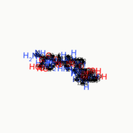 CC[C@H](C)[C@H](NC(=O)[C@H](Cc1ccc(O)cc1)NC(=O)[C@@H](NC(=O)[C@H](CCCNC(=N)N)NC(=O)[C@@H](N)CC(=O)O)C(C)C)C(=O)N[C@@H](Cc1cnc[nH]1)C(=O)N1CCC[C@H]1C(=O)N[C@@H](Cc1ccccc1)C(=O)N[C@@H](Cc1cnc[nH]1)C(=O)N[C@@H](CC(C)C)C(=O)N[C@@H](CC(C)C)C(=O)N[C@H](C(=O)N[C@@H](Cc1ccc(O)cc1)C(=O)N[C@@H](CO)C(=O)O)C(C)C